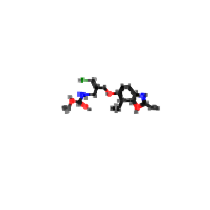 CCCCc1nc2ccc(OC/C(=C/F)CNC(=O)OC(C)(C)C)c(C)c2o1